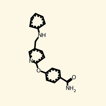 NC(=O)c1ccc(Oc2ccc(CNc3ccccc3)cn2)cc1